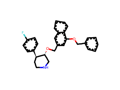 Fc1ccc([C@@H]2CCNC[C@H]2OCc2cc(OCc3ccccc3)c3ccccc3c2)cc1